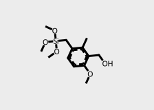 COc1ccc(C[Si](OC)(OC)OC)c(C)c1CO